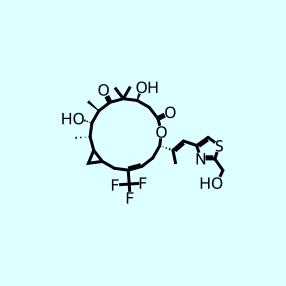 C/C(=C\c1csc(CO)n1)[C@@H]1C/C=C(/C(F)(F)F)CC2CC2[C@H](C)[C@H](O)[C@@H](C)C(=O)C(C)(C)[C@@H](O)CC(=O)O1